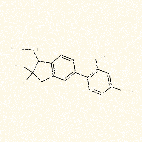 COc1ccc(-c2ccc3c(c2)CC(C)(C)C3NC(=O)O)c(OC)c1